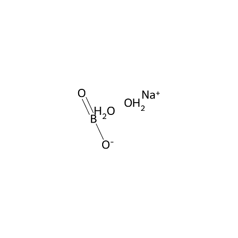 O.O.O=B[O-].[Na+]